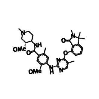 COc1cc(C(=O)NC2CCN(C)C[C@H]2OC)c(C)cc1Nc1ncc(C)c(Oc2cccc3c2C(=O)N(C)C3(C)C)n1